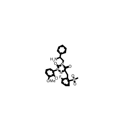 COc1cccc(-n2nc(Cc3c(F)cccc3S(C)(=O)=O)c(=O)n(CC(N)c3ccccc3)c2=O)c1Cl